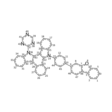 c1ccc2c(c1)oc1cc(-c3ccc(-n4c5ccccc5c5c4c4ccccc4c4c6ccccc6n(-c6ncncn6)c45)cc3)ccc12